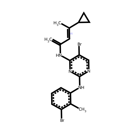 C=C(/C=C(\C)C1CC1)Nc1nc(Nc2cccc(Br)c2C)ncc1Br